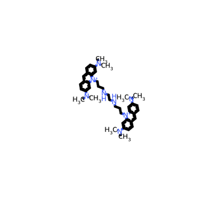 CN(C)c1ccc2cc3ccc(N(C)C)cc3[n+](CCCNCCNCCC[n+]3c4cc(N(C)C)ccc4cc4ccc(N(C)C)cc43)c2c1